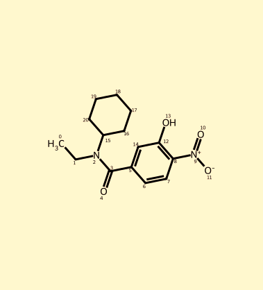 CCN(C(=O)c1ccc([N+](=O)[O-])c(O)c1)C1CCCCC1